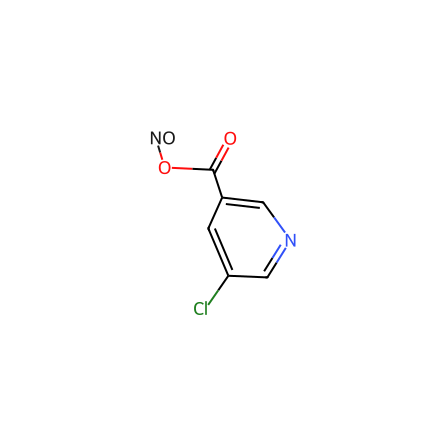 O=NOC(=O)c1cncc(Cl)c1